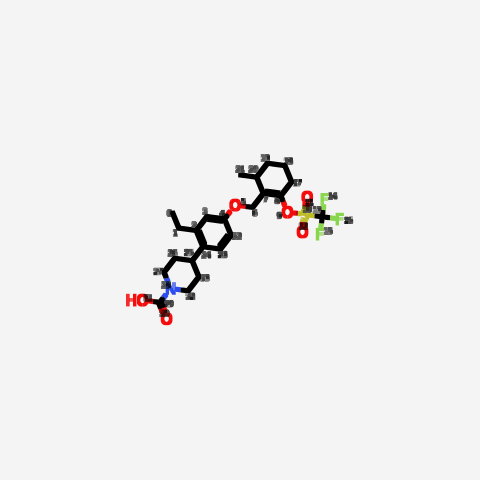 CCc1cc(OCC2=C(OS(=O)(=O)C(F)(F)F)CCCC2C)ccc1C1CCN(C(=O)O)CC1